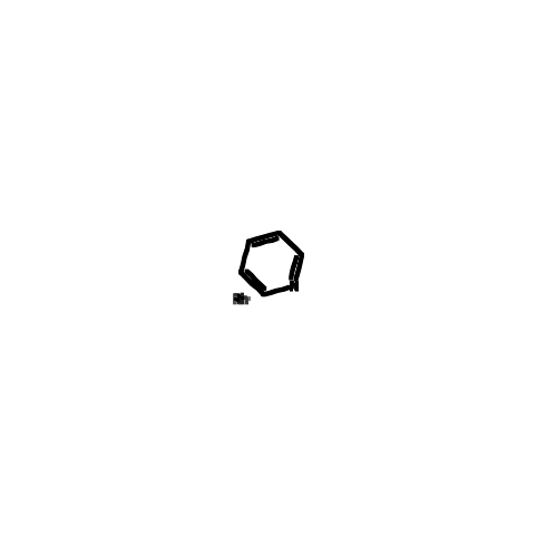 [Rh].c1ccncc1